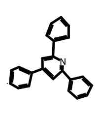 [c]1ccc(-c2cc(-c3ccccc3)nc(-c3ccccc3)c2)cc1